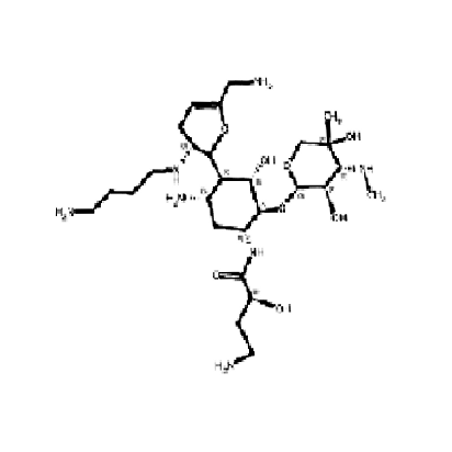 CN[C@@H]1[C@@H](O)[C@@H](O[C@@H]2[C@@H](O)[C@H](C3OC(CN)=CC[C@H]3NCCCCN)[C@@H](N)C[C@H]2NC(=O)[C@@H](O)CCN)OC[C@]1(C)O